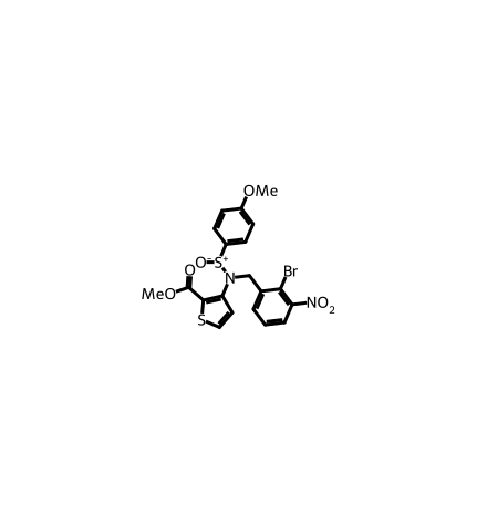 COC(=O)c1sccc1N(Cc1cccc([N+](=O)[O-])c1Br)[S+]([O-])c1ccc(OC)cc1